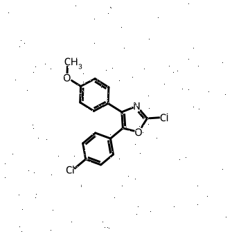 COc1ccc(-c2nc(Cl)oc2-c2ccc(Cl)cc2)cc1